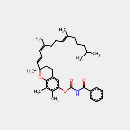 CC(=CC=C[C@@]1(C)CCc2cc(OC(=O)NC(=O)c3ccccc3)c(C)c(C)c2O1)CC/C=C(\C)CCCC(C)C